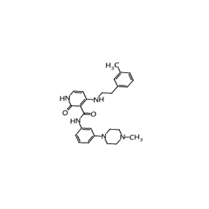 Cc1cccc(CCNc2cc[nH]c(=O)c2C(=O)Nc2cccc(N3CCN(C)CC3)c2)c1